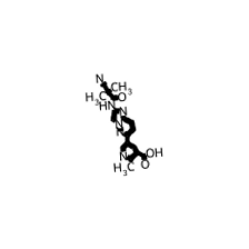 Cc1ncc(-c2ccc3nc(NC(=O)C(C)(C)C#N)cn3n2)cc1C(=O)O